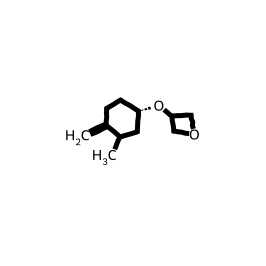 C=C1CC[C@H](OC2COC2)CC1C